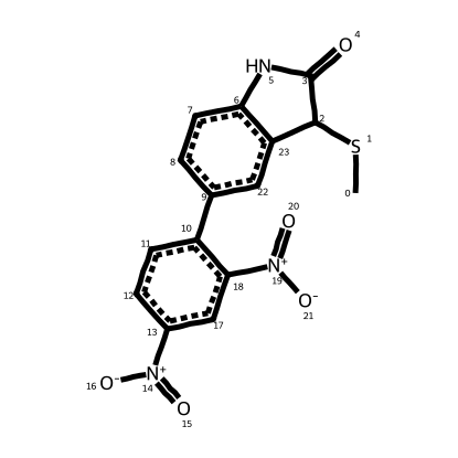 CSC1C(=O)Nc2ccc(-c3ccc([N+](=O)[O-])cc3[N+](=O)[O-])cc21